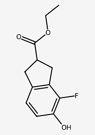 CCOC(=O)C1Cc2ccc(O)c(F)c2C1